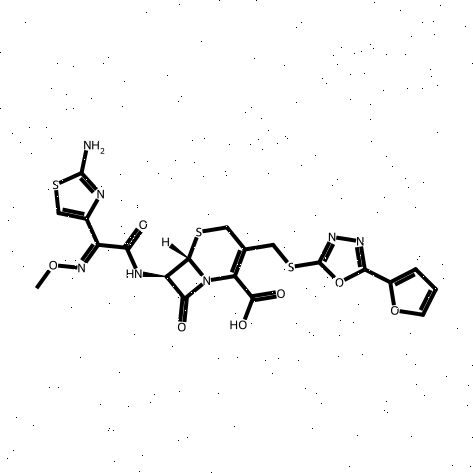 CON=C(C(=O)N[C@@H]1C(=O)N2C(C(=O)O)=C(CSc3nnc(-c4ccco4)o3)CS[C@@H]12)c1csc(N)n1